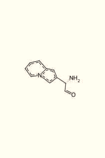 N[C@H](C=O)c1cc2ccccn2c1